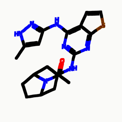 CC(=O)N1C2CCC1CC(Nc1nc(Nc3cc(C)[nH]n3)c3ccsc3n1)C2